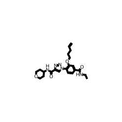 C=CCCCOc1cc(C(=O)NCC)ccc1-n1cc(C(=O)NC2CCOCC2)nn1